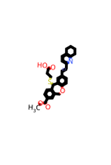 COC(=O)c1ccc2c(c1)COc1ccc(/C=C/c3ccc4c(n3)CCCC4)cc1C2SCCC(=O)O